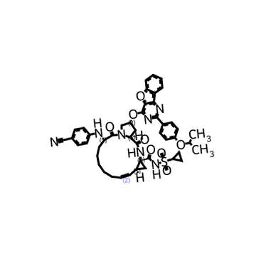 CC(C)Oc1ccc(-c2nc(O[C@@H]3C[C@H]4C(=O)N[C@]5(C(=O)NS(=O)(=O)C6CC6)C[C@H]5/C=C\CCCCC[C@H](Nc5ccc(C#N)cc5)C(=O)N4C3)c3oc4ccccc4c3n2)cc1